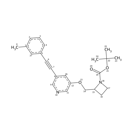 Cc1cccc(C#Cc2cncc(OCC3CCN3C(=O)OC(C)(C)C)c2)c1